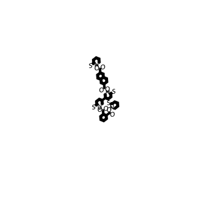 O=C(On1ccccc1=S)c1ccc2cc(C(=O)On3cc(-c4ccc(=S)n(OC(=O)c5ccccc5C(=O)On5ccccc5=S)c4)ccc3=S)ccc2c1